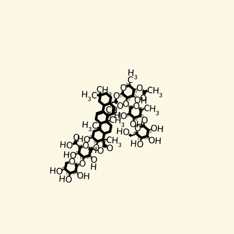 CC(=O)O[C@@H]1[C@H](O)[C@@H](O[C@@H]2O[C@@H](C)[C@H](O[C@@H]3O[C@H](CO)[C@@H](O)[C@H](O)[C@H]3O)[C@@H](O)[C@H]2O)[C@H](OC(=O)[C@]23CCC(C)(C)CC2C2=CCC4[C@@]5(C)C[C@H](O)[C@H](O[C@@H]6O[C@H](C(=O)O)[C@@H](O)[C@H](O[C@@H]7OC[C@@H](O)[C@H](O)[C@H]7O)[C@H]6O)[C@@](C)(C(=O)O)C5CC[C@@]4(C)[C@]2(C)CC3)O[C@@H]1C